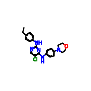 CCc1ccc(Nc2ncc(Cl)c(Nc3ccc(N4CCOCC4)cc3)n2)cc1